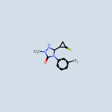 O=C1N(c2cccc(C(F)(F)F)c2)C(C2CC2=S)NN1C(Cl)(Cl)Cl